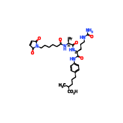 CC(CCCc1ccc(NC(=O)[C@H](CCCNC(N)=O)NC(=O)[C@@H](NC(=O)CCCCCN2C(=O)C=CC2=O)C(C)C)cc1)C(=O)O